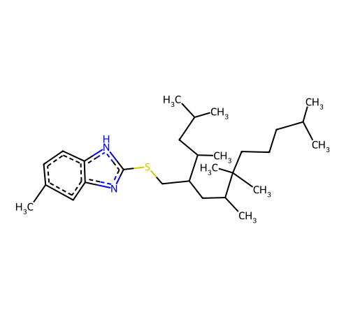 Cc1ccc2[nH]c(SCC(CC(C)C(C)(C)CCCC(C)C)C(C)CC(C)C)nc2c1